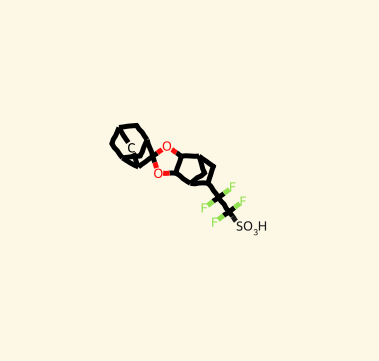 O=S(=O)(O)C(F)(F)C(F)(F)C1CC2CC1C1OC3(OC21)C1CC2CC(C1)C3C2